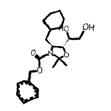 CC1(C)O[C@@H](C(O)CO)[C@H](CC2CCCCC2)N1C(=O)OCc1ccccc1